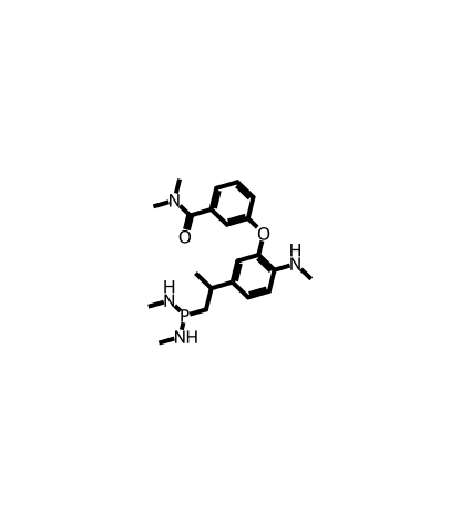 CNc1ccc(C(C)CP(NC)NC)cc1Oc1cccc(C(=O)N(C)C)c1